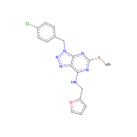 CCCSc1nc(NCc2ccco2)c2nnn(Cc3ccc(Cl)cc3)c2n1